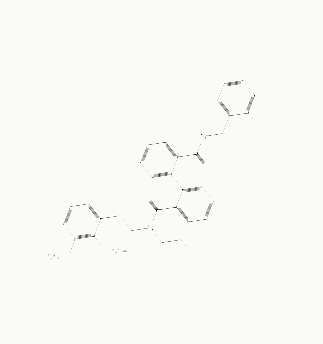 COc1cccc(CCN(CCC(=O)O)C(=O)c2ccccc2-c2ccccc2C(=O)NCc2ccccc2C)c1OC